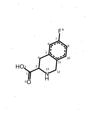 O=C(O)C1Cc2cc(F)ccc2CN1